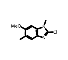 COc1cc2c(cc1C)nc(Cl)n2C